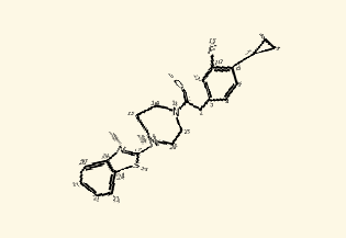 O=C(Cc1ccc(C2CC2)c(F)c1)N1CCN(c2nc3ccccc3s2)CC1